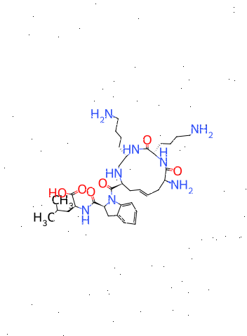 CC(C)C[C@H](NC(=O)[C@@H]1Cc2ccccc2N1C(=O)[C@@H]1C/C=C/C[C@H](N)C(=O)N[C@@H](CCCCN)C(=O)N[C@@H](CCCCN)CN1)C(=O)O